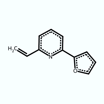 C=Cc1cccc(-c2ccco2)n1